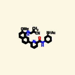 C=C(C#N)CNc1c(OC)ccc2ccc(-c3cccc(C(=O)N[C@@H]4CCC[C@H](NC(C)=O)C4)n3)cc12